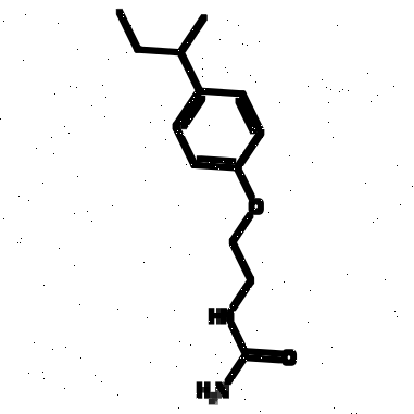 CCC(C)c1ccc(OCCNC(N)=O)cc1